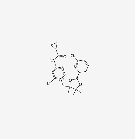 CC1(C)OB(C2CC=CC(Cl)=N2)OC1(C)C[n+]1cnc(NC(=O)C2CC2)cc1Cl